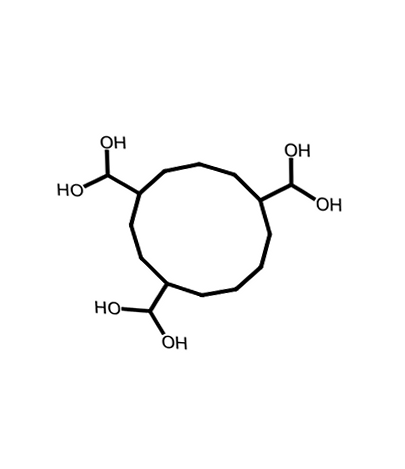 OC(O)C1CCCCC(C(O)O)CCC(C(O)O)CCC1